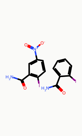 NC(=O)c1cc([N+](=O)[O-])ccc1I.NC(=O)c1ccccc1I